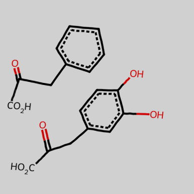 O=C(O)C(=O)Cc1ccc(O)c(O)c1.O=C(O)C(=O)Cc1ccccc1